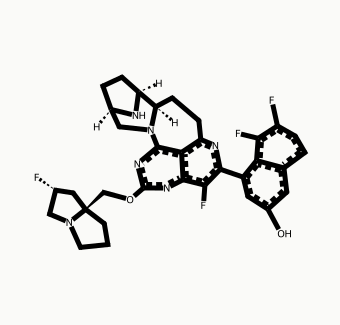 Oc1cc(-c2nc3c4c(nc(OC[C@@]56CCCN5C[C@H](F)C6)nc4c2F)N2C[C@H]4CC[C@H](N4)[C@H]2CC3)c2c(F)c(F)ccc2c1